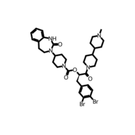 CN1CCC(C2CCN(C(=O)[C@@H](Cc3ccc(Br)c(Br)c3)OC(=O)N3CCC(N4CCc5ccccc5NC4=O)CC3)CC2)CC1